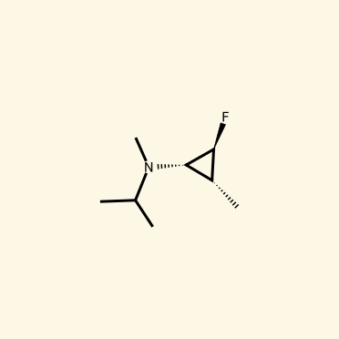 CC(C)N(C)[C@H]1[C@@H](C)[C@@H]1F